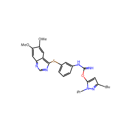 COc1cc2ncnc(Sc3cccc(NC(=N)Oc4cc(C(C)(C)C)nn4C(C)C)c3)c2cc1OC